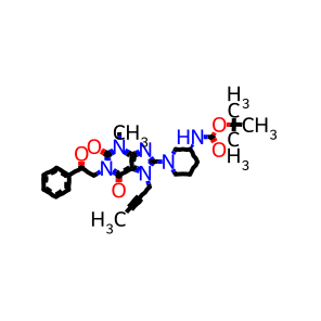 CC#CCn1c(N2CCC[C@H](NC(=O)OC(C)(C)C)C2)nc2c1c(=O)n(CC(=O)c1ccccc1)c(=O)n2C